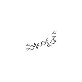 O=C(C(O)c1ccnc(N2CCOCC2)c1)N1CC2=C(C1)CN(S(=O)(=O)c1ccc3c(c1)OCCO3)C2